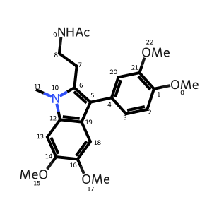 COc1ccc(-c2c(CCNC(C)=O)n(C)c3cc(OC)c(OC)cc23)cc1OC